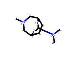 CN1CC2CCC(CC(N(C)C)C2)C1